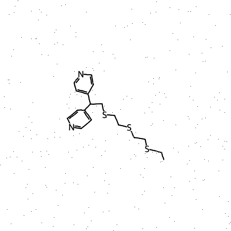 CCSCCSCCSCC(c1ccncc1)c1ccncc1